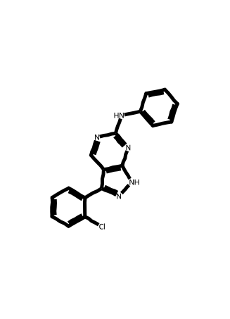 Clc1ccccc1-c1n[nH]c2nc(Nc3ccccc3)ncc12